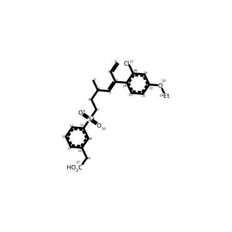 C=C/C(=C\C(C)CCS(=O)(=O)c1cccc(CC(=O)O)c1)c1ccc(OCC)cc1Cl